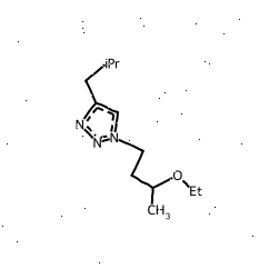 CCOC(C)CCn1cc(CC(C)C)nn1